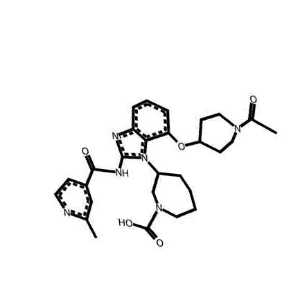 CC(=O)N1CCC(Oc2cccc3nc(NC(=O)c4ccnc(C)c4)n(C4CCCCN(C(=O)O)C4)c23)CC1